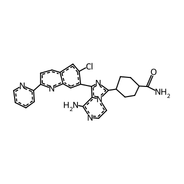 NC(=O)C1CCC(c2nc(-c3cc4nc(-c5ccccn5)ccc4cc3Cl)c3c(N)nccn23)CC1